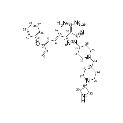 C=C/C(=C\C=C(/C)c1nn(C2CCN(CC3CCN(C4CNC4)CC3)CC2)c2ncnc(N)c12)Oc1ccccc1